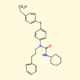 O=C(O)Cc1ccc(Sc2ccc(N(CCCc3ccccc3)C(=O)NC3CCCCC3)cc2)cc1